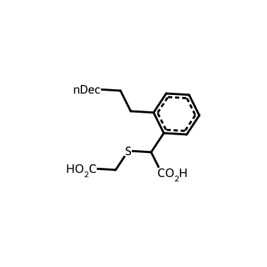 CCCCCCCCCCCCc1ccccc1C(SCC(=O)O)C(=O)O